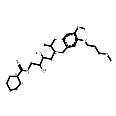 COCCCOc1cc(C[C@@H](C[C@H](N)[C@@H](O)CNC(=O)C2CCCCC2)C(C)C)ccc1OC